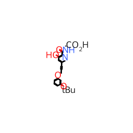 CC(C)(C)Oc1cccc(OCC#Cc2cnc(C(=O)NCC(=O)O)c(O)c2)c1